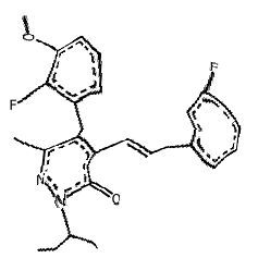 COc1cccc(-c2c(C)nn(C(C)C)c(=O)c2/C=C/c2cccc(F)c2)c1F